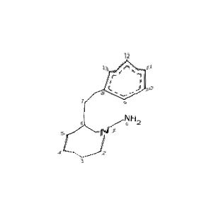 NN1CCCCC1Cc1ccccc1